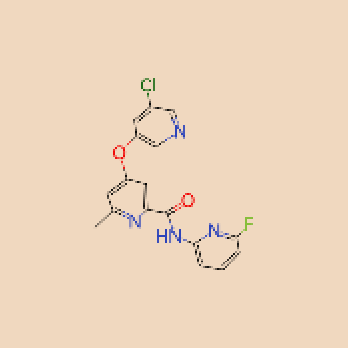 Cc1cc(Oc2cncc(Cl)c2)cc(C(=O)Nc2cccc(F)n2)n1